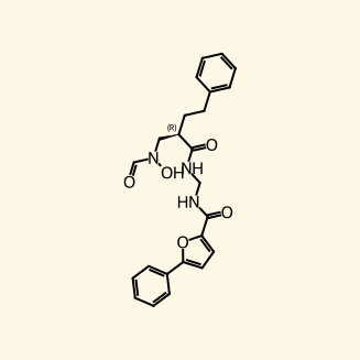 O=CN(O)C[C@@H](CCc1ccccc1)C(=O)NCNC(=O)c1ccc(-c2ccccc2)o1